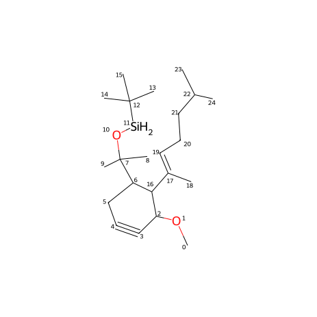 COC1C#CCC(C(C)(C)O[SiH2]C(C)(C)C)C1C(C)=CCCC(C)C